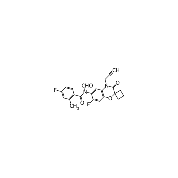 C#CCN1C(=O)C2(CCC2)Oc2cc(F)c(N(C=O)C(=O)c3ccc(F)cc3C)cc21